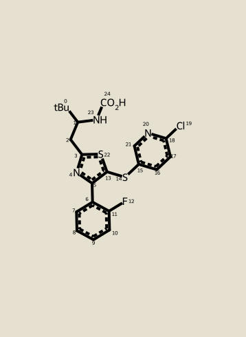 CC(C)(C)C(Cc1nc(-c2ccccc2F)c(Sc2ccc(Cl)nc2)s1)NC(=O)O